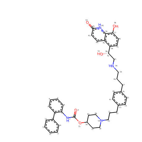 O=C(Nc1ccccc1-c1ccccc1)OC1CCN(CCCc2ccc(CCCNC[C@H](O)c3ccc(O)c4[nH]c(=O)ccc34)cc2)CC1